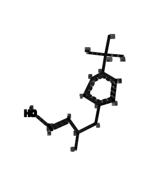 CC(C=NO)Cc1ccc(C(C)(C)C)cc1